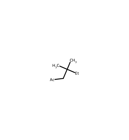 CCC(C)(C)CC(C)=O